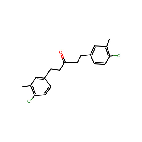 Cc1cc(CCC(=O)CCc2ccc(Cl)c(C)c2)ccc1Cl